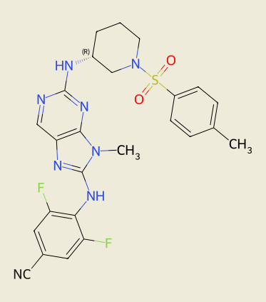 Cc1ccc(S(=O)(=O)N2CCC[C@@H](Nc3ncc4nc(Nc5c(F)cc(C#N)cc5F)n(C)c4n3)C2)cc1